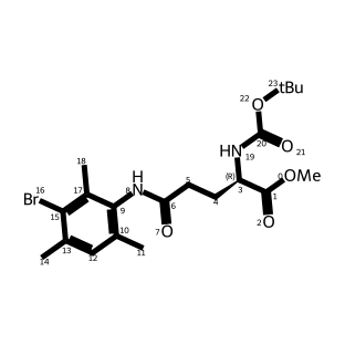 COC(=O)[C@@H](CCC(=O)Nc1c(C)cc(C)c(Br)c1C)NC(=O)OC(C)(C)C